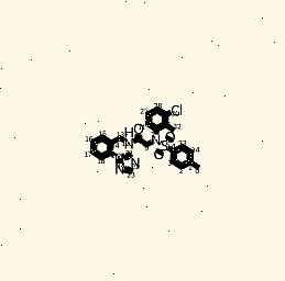 Cc1ccc(S(=O)(=O)N(CC(=O)NCc2ccccc2-n2cncn2)c2cccc(Cl)c2C)cc1